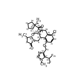 CC1CC(=O)N(C[C@@H]2c3c(OCc4nnn(C)c4C(F)F)ccc(Cl)c3CCN2C(=O)[C@@H]2CCC[C@]2(C)C(=O)O)C1